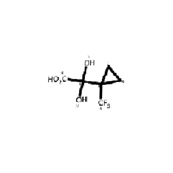 O=C(O)C(O)(O)C1(C(F)(F)F)CC1